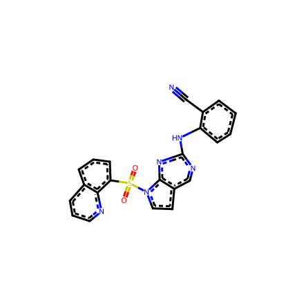 N#Cc1ccccc1Nc1ncc2ccn(S(=O)(=O)c3cccc4cccnc34)c2n1